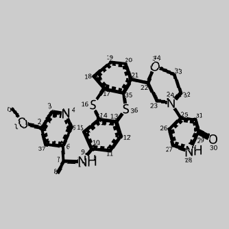 COc1cncc(C(C)Nc2ccc3c(c2)Sc2cccc(C4CN(c5cc[nH]c(=O)c5)CCO4)c2S3)c1